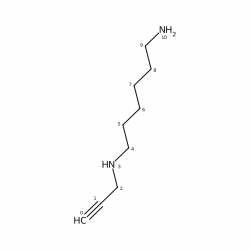 C#CCNCCCCCCN